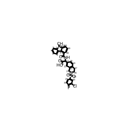 Cn1c2ccccc2c2c(C(=O)NC(C(=O)O)c3ccc4c(c3)CN(S(=O)(=O)c3ccc(F)c(Cl)c3)CC4)cccc21